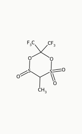 CC1S(=O)OC(C(F)(F)F)(C(F)(F)F)OS1(=O)=O